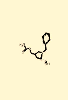 NC(=O)OCC1C[C@@H](CO)N(Cc2ccccc2)C1